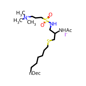 CCCCCCCCCCCCCCCCSCC(CNS(=O)(=O)CCC[N+](C)(C)C)NC(C)=O.[I-]